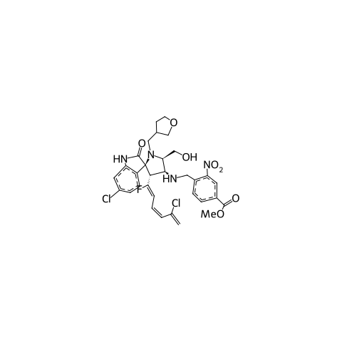 C=C(Cl)/C=C\C=C(/F)[C@H]1[C@H](NCc2ccc(C(=O)OC)cc2[N+](=O)[O-])[C@H](CO)N(CC2CCOC2)[C@@]12C(=O)Nc1cc(Cl)ccc12